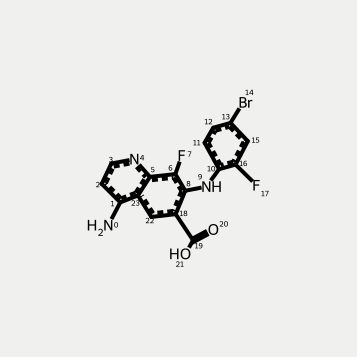 Nc1ccnc2c(F)c(Nc3ccc(Br)cc3F)c(C(=O)O)cc12